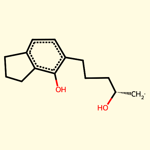 [CH2][C@H](O)CCCc1ccc2c(c1O)CCC2